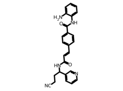 N#CCCC(NC(=O)/C=C/c1ccc(C(=O)Nc2ccccc2N)cc1)c1cccnc1